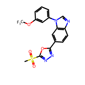 CS(=O)(=O)c1nnc(-c2ccc3ncn(-c4cccc(OC(F)(F)F)c4)c3c2)o1